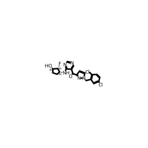 O=C(c1ccn(Cc2cc(Cl)ccc2Cl)n1)c1cncnc1N[C@@H]1C[CH][C@@H](O)[C@@H]1F